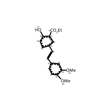 CCOC(=O)c1cc(C=Cc2ccc(OC)c(OC)c2)ccc1O